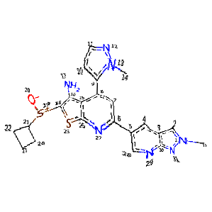 Cn1cc2cc(-c3cc(-c4ccnn4C)c4c(N)c([S+]([O-])C5CCC5)sc4n3)cnc2n1